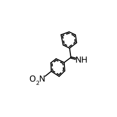 N=C(c1ccccc1)c1ccc([N+](=O)[O-])cc1